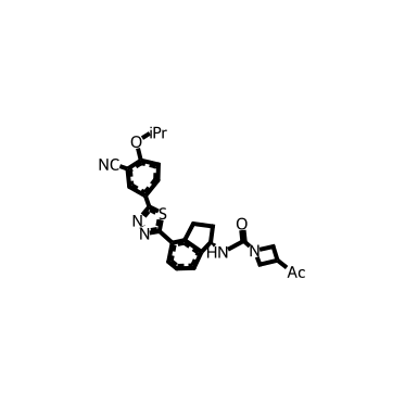 CC(=O)C1CN(C(=O)N[C@@H]2CCc3c(-c4nnc(-c5ccc(OC(C)C)c(C#N)c5)s4)cccc32)C1